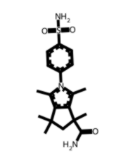 Cc1c2c(c(C)n1-c1ccc(S(N)(=O)=O)cc1)C(C)(C(N)=O)CC2(C)C